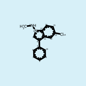 CNn1cc(-c2ccccc2)c2cc(Cl)ccc21